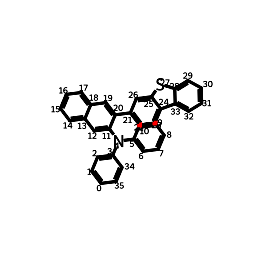 c1ccc(N(c2ccccc2)c2cc3ccccc3cc2-c2ccc3c(c2)sc2ccccc23)cc1